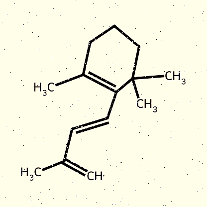 [CH]=C(C)C=CC1=C(C)CCCC1(C)C